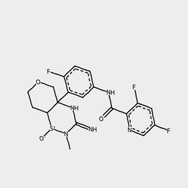 CN1C(=N)NC2(c3cc(NC(=O)c4ncc(F)cc4F)ccc3F)COCCC2[S+]1[O-]